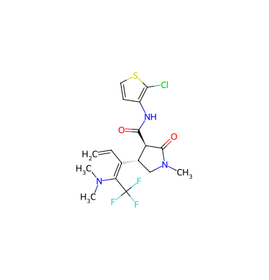 C=C/C(=C(\N(C)C)C(F)(F)F)[C@H]1CN(C)C(=O)[C@@H]1C(=O)Nc1ccsc1Cl